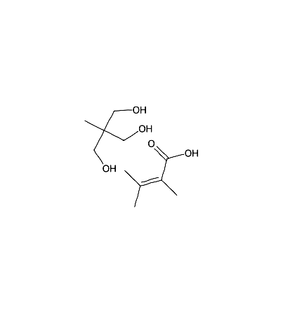 CC(C)=C(C)C(=O)O.CC(CO)(CO)CO